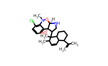 C=C(C)C1CCCC2C1C=CC(C)C2(C)C1CN[C@@H]2ON(C)c3c(Cl)cccc3[C@]12O